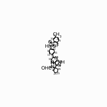 Cc1ccc(F)c(S(=O)(=O)Nc2ccc(-c3cnc4c(C5(NC=O)CCCC5)n[nH]c4n3)cc2)c1